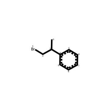 CC(CBr)c1cc[c]cc1